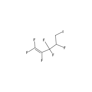 FC(F)=C(F)C(F)(F)C(F)CI